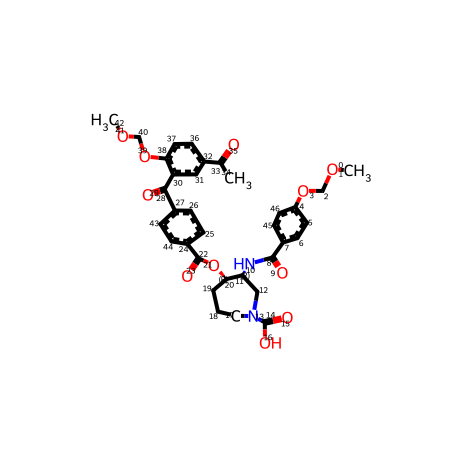 COCOc1ccc(C(=O)N[C@@H]2CN(C(=O)O)CCC[C@H]2OC(=O)c2ccc(C(=O)c3cc(C(C)=O)ccc3OCOC)cc2)cc1